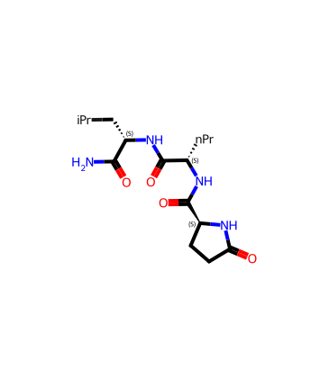 CCC[C@H](NC(=O)[C@@H]1CCC(=O)N1)C(=O)N[C@@H](CC(C)C)C(N)=O